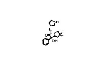 O=C(OC[C@@H]1CCNC1)[C@](O)(c1ccccc1)[C@@H]1CCC(F)(F)C1